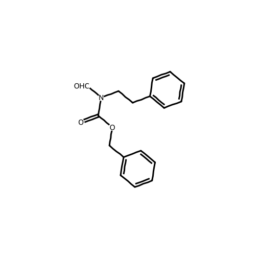 O=CN(CCc1ccccc1)C(=O)OCc1ccccc1